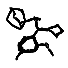 COc1cc(C)ccc1C(NC1CN2CCC1CC2)=C1CCC1